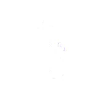 FC(F)=C(F)CCSc1nnc(SCCC(F)=C(F)F)s1